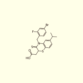 CC(C)c1ccc2c(c1)N(Cc1ccc(Br)cc1F)C(=S)C(CC(=O)O)S2